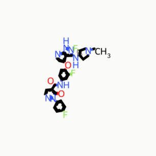 CCN1CC[C@H](Nc2n[nH]c3nccc(Oc4ccc(NC(=O)c5ccnn(-c6ccc(F)cc6)c5=O)cc4F)c23)[C@@H](F)C1